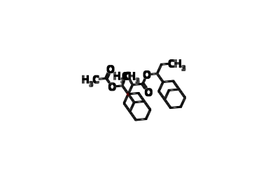 CCC(OC(=O)C(C)CC1C2CCCC1CC(C(C)OC(C)=O)C2)C1CC2CCCC(C2)C1